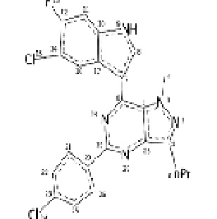 CCCc1nn(C)c2c(-c3c[nH]c4cc(F)c(Cl)cc34)nc(-c3ccc(Cl)cc3)nc12